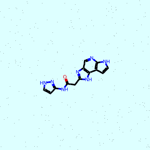 O=C(Cc1nc2cnc3[nH]ccc3c2[nH]1)Nc1cc[nH]n1